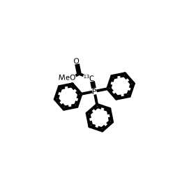 COC(=O)[13CH]=P(c1ccccc1)(c1ccccc1)c1ccccc1